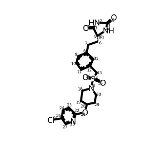 O=C1NC(=O)[C@@H](CCc2cccc(CS(=O)(=O)N3CCC(Oc4ccc(Cl)cn4)CC3)c2)N1